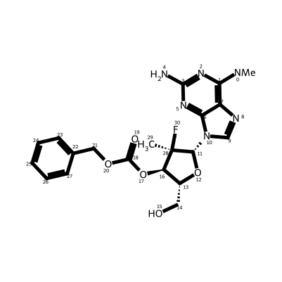 CNc1nc(N)nc2c1ncn2[C@@H]1O[C@H](CO)[C@@H](OC(=O)OCc2ccccc2)[C@@]1(C)F